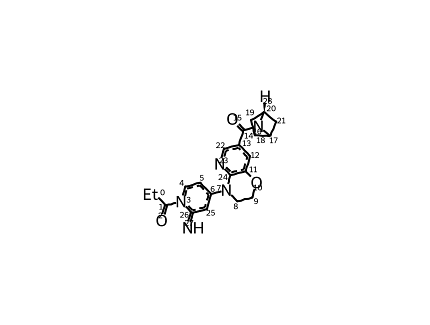 CCC(=O)n1ccc(N2CCOc3cc(C(=O)N4C5CC[C@@H]4C5)cnc32)cc1=N